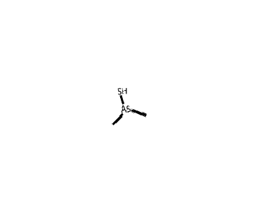 C[As](C)S